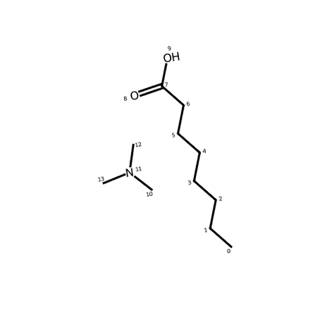 CCCCCCCC(=O)O.CN(C)C